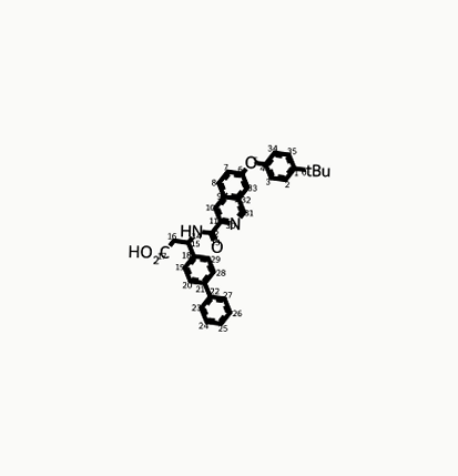 CC(C)(C)c1ccc(Oc2ccc3cc(C(=O)NC(CC(=O)O)c4ccc(-c5ccccc5)cc4)ncc3c2)cc1